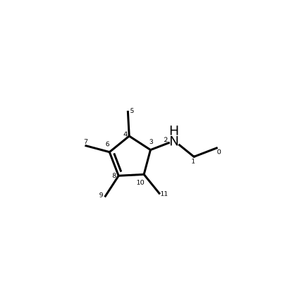 CCNC1C(C)C(C)=C(C)C1C